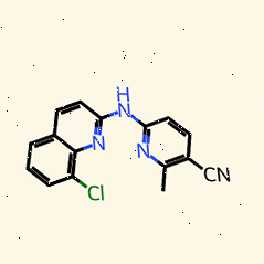 Cc1nc(Nc2ccc3cccc(Cl)c3n2)ccc1C#N